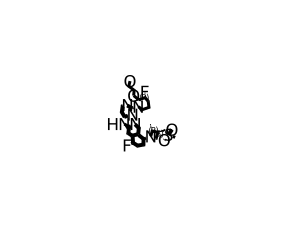 COCCOC1[C@H](F)CCCN1c1nccc(Nc2cc3c(F)ccc(N4C[C@H](CS(C)(=O)=O)[C@H]4C)c3cn2)n1